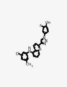 Cc1cc(Cl)cc(Nc2cccc3nc(-c4cn(-c5ccc(O)c(F)c5)nn4)ccc23)c1